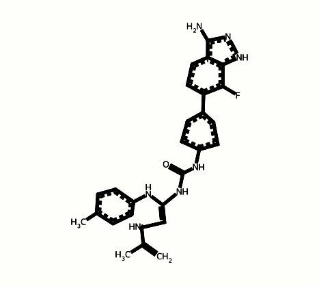 C=C(C)C(=N)/C=C(/NC(=O)Nc1ccc(-c2ccc3c(N)n[nH]c3c2F)cc1)Nc1ccc(C)cc1